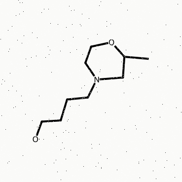 CC1CN(CCCC[O])CCO1